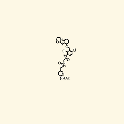 CC(=O)Nc1ccc(/C=C/C(=O)NCC(=O)N(C)c2ccc(Cl)c(COc3cccc4c3nc3n4CCCO3)c2Cl)cn1